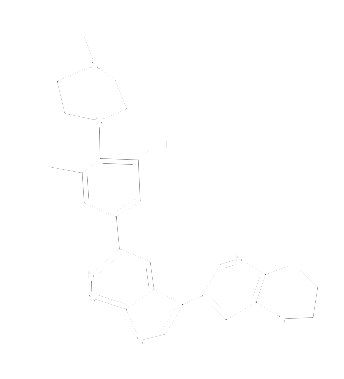 Cc1cc(-c2cc3c(-c4cnc5c(c4)NCCO5)c[nH]c3nn2)cc(C)c1N1CCN(C)CC1